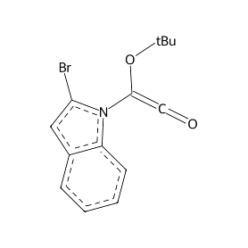 CC(C)(C)OC(=C=O)n1c(Br)cc2ccccc21